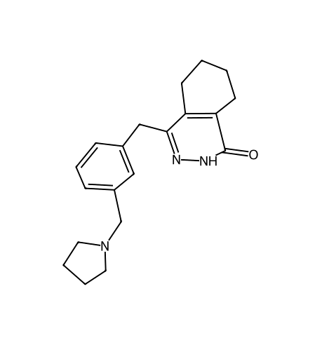 O=c1[nH]nc(Cc2cccc(CN3CCCC3)c2)c2c1CCCC2